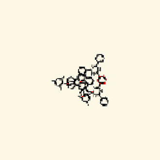 Cc1cc(C)c(-c2ccc3c(c2)c2ccccc2n3-c2cccc(-c3nc(-c4ccccc4)nc(-c4ccccc4)n3)c2-c2cccc(-c3c(-c4nc(-c5ccccc5)nc(-c5ccccc5)n4)cccc3-n3c4ccccc4c4cc(-c5c(C)cc(C)cc5C)ccc43)c2)c(C)c1